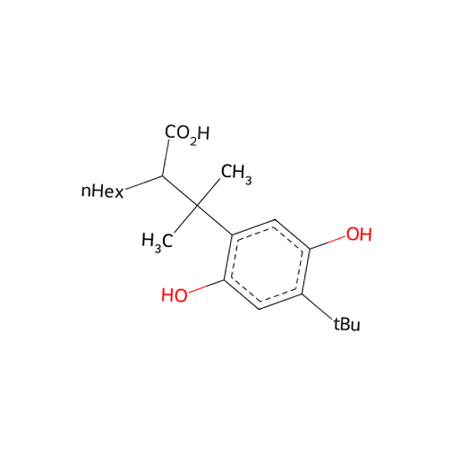 CCCCCCC(C(=O)O)C(C)(C)c1cc(O)c(C(C)(C)C)cc1O